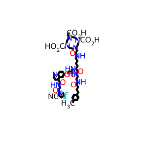 Cc1ccc(CCCC(=O)NCCNC(=O)C(CCCCNC(=O)CN2CCN(CC(=O)O)CCN(CC(=O)O)CCN(CC(=O)O)CC2)NC(=O)COc2ccc3nccc(C(=O)NCC(=O)N4CC(F)(F)C[C@H]4C#N)c3c2)cc1